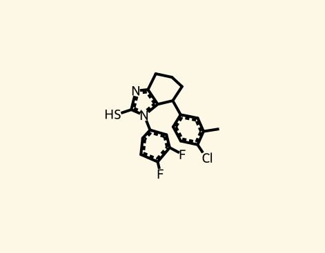 Cc1cc(C2CCCc3nc(S)n(-c4ccc(F)c(F)c4)c32)ccc1Cl